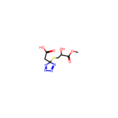 COC(=O)C(O)CSC1(CC(=O)O)N=NN=N1